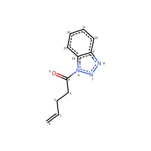 C=CCCC(=O)n1nnc2ccccc21